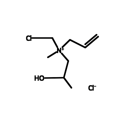 C=CC[N+](C)(CCl)CC(C)O.[Cl-]